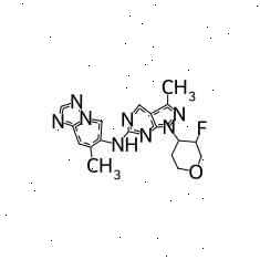 Cc1cc2ncnn2cc1Nc1ncc2c(C)nn(C3CCOCC3F)c2n1